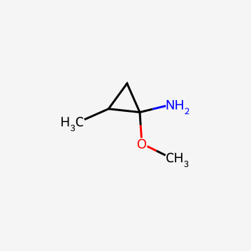 COC1(N)CC1C